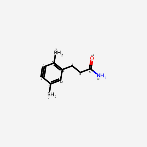 Bc1c#cc(B)c(CCC(N)=O)c1